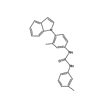 Cc1cccc(NC(=O)Nc2ccc(-n3ccc4ccccc43)c(C)c2)c1